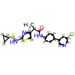 CC(C(=O)Nc1ccc(-c2cncc(Cl)c2)cc1)c1csc(NSC2CC2)n1